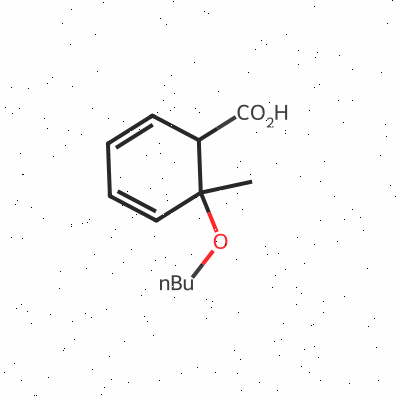 CCCCOC1(C)C=CC=CC1C(=O)O